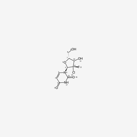 O=c1ccn([C@H]2O[C@H](CO)C(O)[C@]2(F)Cl)c(=O)[nH]1